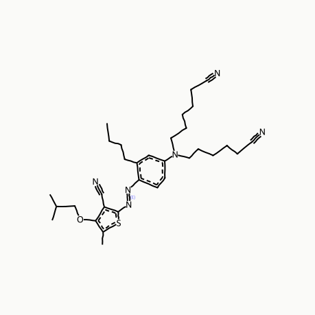 CCCCc1cc(N(CCCCCC#N)CCCCCC#N)ccc1/N=N/c1sc(C)c(OCC(C)C)c1C#N